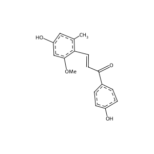 COc1cc(O)cc(C)c1/C=C/C(=O)c1ccc(O)cc1